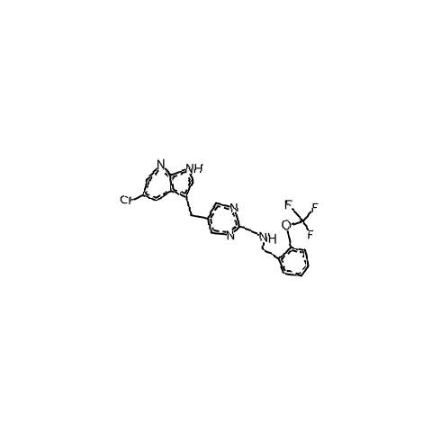 FC(F)(F)Oc1ccccc1CNc1ncc(Cc2c[nH]c3ncc(Cl)cc23)cn1